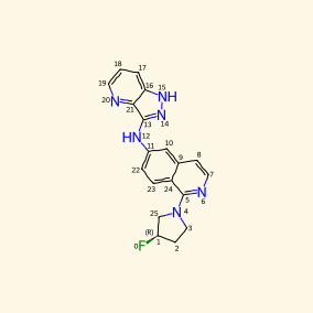 F[C@@H]1CCN(c2nccc3cc(Nc4n[nH]c5cccnc45)ccc23)C1